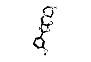 COc1cccc(C2=NC(=CN3CCNCC3)C(=O)O2)c1